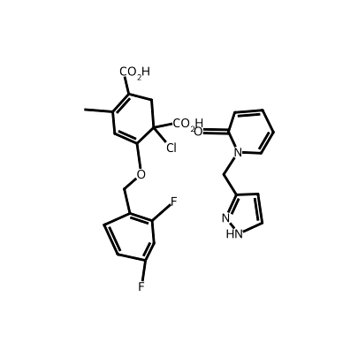 CC1=C(C(=O)O)CC(Cl)(C(=O)O)C(OCc2ccc(F)cc2F)=C1.O=c1ccccn1Cc1cc[nH]n1